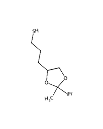 CC(C)C1(C)OCC(CCCS)O1